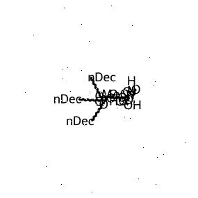 CCCCCCCCCCCCCCCCCCOc1cc(COC(=O)CCC(=O)O[C@@]2(O)[C@@H](CO)O[C@@H](n3ccc(=O)[nH]c3=O)[C@@H]2OC)cc(OCCCCCCCCCCCCCCCCCC)c1OCCCCCCCCCCCCCCCCCC